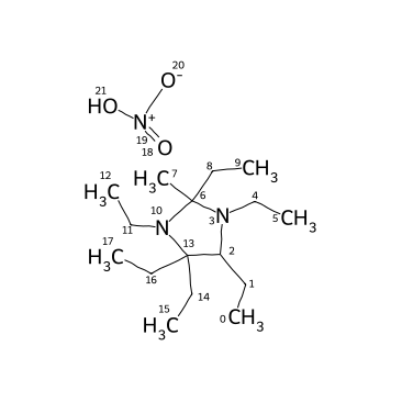 CCC1N(CC)C(C)(CC)N(CC)C1(CC)CC.O=[N+]([O-])O